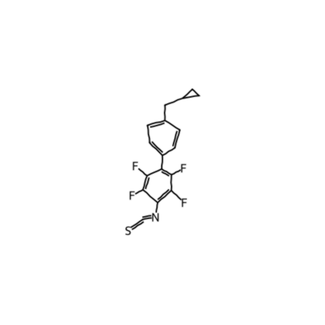 Fc1c(F)c(-c2ccc(CC3CC3)cc2)c(F)c(F)c1N=C=S